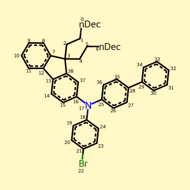 CCCCCCCCCCCCC1(CCCCCCCCCCCC)c2ccccc2-c2ccc(N(c3ccc(Br)cc3)c3ccc(-c4ccccc4)cc3)cc21